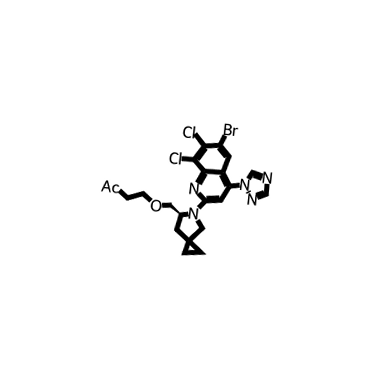 CC(=O)CCOC[C@@H]1CC2(CC2)CN1c1cc(-n2cncn2)c2cc(Br)c(Cl)c(Cl)c2n1